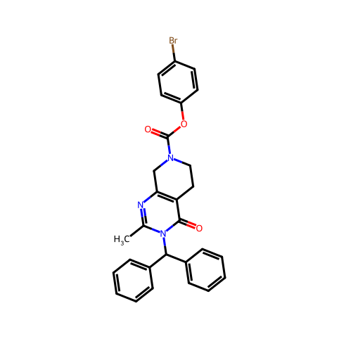 Cc1nc2c(c(=O)n1C(c1ccccc1)c1ccccc1)CCN(C(=O)Oc1ccc(Br)cc1)C2